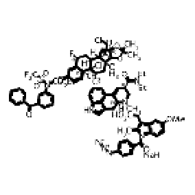 CC1(C)O[C@@H]2C[C@H]3[C@@H]4C[C@H](F)C5=CC(=O)C=C[C@]5(C)[C@@]4(Cl)[C@@H](Cl)C[C@]3(C)[C@]2(C(=O)CCl)O1.CCN(CC)C(=O)[C@@H]1C=C2c3cccc4[nH]cc(c34)C[C@H]2N(C)C1.CCOC(=O)N(c1cccc(C(=O)c2ccccc2)c1)S(=O)(=O)C(F)(F)F.COc1ccc2c(c1)c(CC(=O)O)c(C)n2C(=O)c1ccc(N=[N+]=[N-])cc1.[NaH]